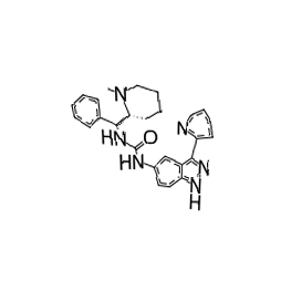 CN1CCCC[C@@H]1[C@H](NC(=O)Nc1ccc2[nH]nc(-c3ccccn3)c2c1)c1ccccc1